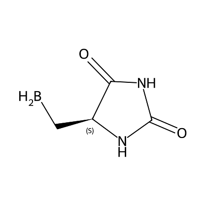 BC[C@@H]1NC(=O)NC1=O